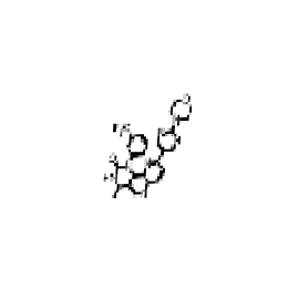 C=C1NC(=O)N(c2cccc(C(F)(F)F)c2)c2c1cnc1ccc(-c3cnc(N4CCOCC4)nc3)nc21